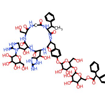 CC(c1ccccc1)C1NC(=O)CNC(=O)C(CO)NC(=O)C(C(O)C2CNC(=N)N2C2OC(CO)C(O)C(O)C2O)NC(=O)C(C(O)C2CNC(=N)N2)NC(=O)C(Cc2ccc(OC3OC(CO)C(OC4OC(COC(=O)C(c5ccccc5)c5ccccc5)C(O)C(O)C4O)C(O)C3O)cc2)NC1=O